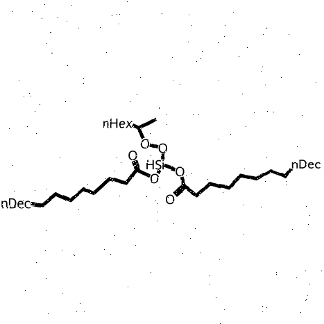 CCCCCCCCCCCCCCCCCC(=O)O[SiH](OOC(C)CCCCCC)OC(=O)CCCCCCCCCCCCCCCCC